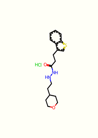 Cl.O=C(CCc1csc2ccccc12)NNCCC1CCOCC1